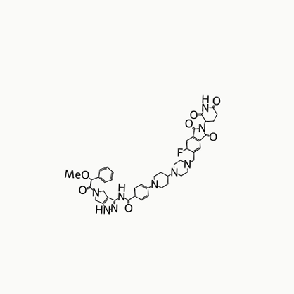 COC(C(=O)N1Cc2[nH]nc(NC(=O)c3ccc(N4CCC(N5CCN(Cc6cc7c(cc6F)C(=O)N(C6CCC(=O)NC6=O)C7=O)CC5)CC4)cc3)c2C1)c1ccccc1